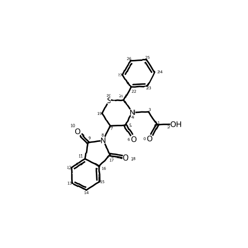 O=C(O)CN1C(=O)C(N2C(=O)c3ccccc3C2=O)CSC1c1ccccc1